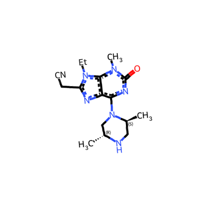 CCn1c(CC#N)nc2c(N3C[C@@H](C)NC[C@@H]3C)nc(=O)n(C)c21